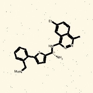 CCc1ccc2c(C)nnc(N[C@H](N)c3ccc(-c4ccccc4CNC)s3)c2c1